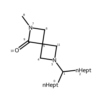 CCCCCCCC(CCCCCCC)N1CC2(CN(C)C2=O)C1